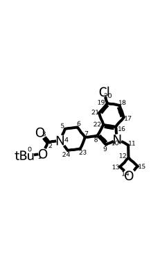 CC(C)(C)OC(=O)N1CCC(c2cn(CC3COC3)c3ccc(Cl)cc23)CC1